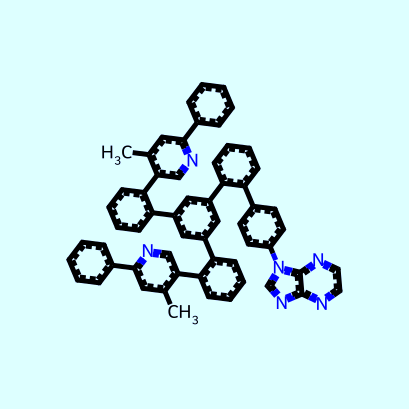 Cc1cc(-c2ccccc2)ncc1-c1ccccc1-c1cc(-c2ccccc2-c2ccc(-n3cnc4nccnc43)cc2)cc(-c2ccccc2-c2cnc(-c3ccccc3)cc2C)c1